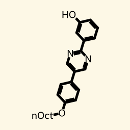 CCCCCCCCOc1ccc(-c2cnc(-c3cccc(O)c3)nc2)cc1